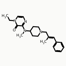 CCn1ccnc(N(C)C2CCN(C/C(C)=C/c3ccccc3)CC2)c1=O